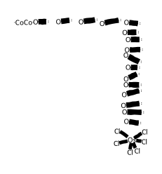 [C]=O.[C]=O.[C]=O.[C]=O.[C]=O.[C]=O.[C]=O.[C]=O.[C]=O.[C]=O.[C]=O.[C]=O.[C]=O.[C]=O.[C]=O.[C]=O.[Cl][Os]([Cl])([Cl])([Cl])([Cl])[Cl].[Co].[Co]